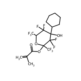 C=C(C)C(=O)OC1(C(F)(F)F)OC(C(F)(F)F)C(F)(F)C(O)(C2CCCCC2)C1(F)F